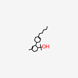 CCCCCC1=CCC(C2C=C(C)CCC2C(C)(C)O)CC1